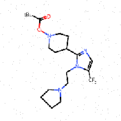 CC(C)(C)C(=O)ON1CCC(c2ncc(C(F)(F)F)n2CCN2CCCC2)CC1